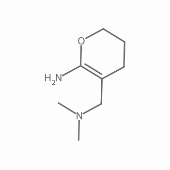 CN(C)CC1=C(N)OCCC1